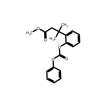 COC(=O)CC(C)(C)c1ccccc1OC(=O)Oc1ccccc1